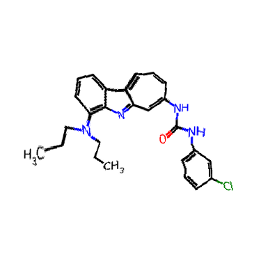 CCCN(CCC)c1cccc2c3cccc(NC(=O)Nc4cccc(Cl)c4)cc-3nc12